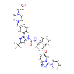 CC(C)(C)c1cc(NC(=O)N[C@H]2CC[C@@H](Oc3ccc4nnc(N5CCCCC5)n4c3)c3ccccc32)n(-c2cccc(CN3CCN(CCO)CC3)c2)n1